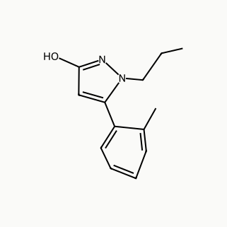 CCCn1nc(O)cc1-c1ccccc1C